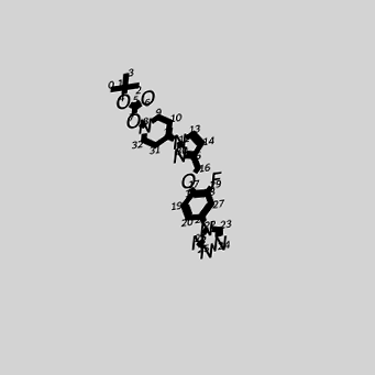 CC(C)(C)OC(=O)ON1CCC(n2ccc(COc3ccc(-n4cnnn4)cc3F)n2)CC1